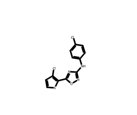 Clc1ccc(Nc2noc(-c3sccc3Cl)n2)cc1